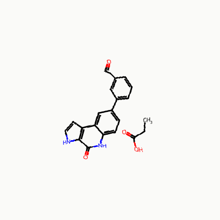 CCC(=O)O.O=Cc1cccc(-c2ccc3[nH]c(=O)c4[nH]ccc4c3c2)c1